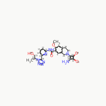 COc1cc2c(cc1C(=O)Nc1cccc(-c3nnnn3[C@H](C)CO)n1)CN(c1c(N)c(=O)c1=O)CC2